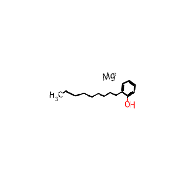 CCCCCCCCCc1ccccc1O.[Mg]